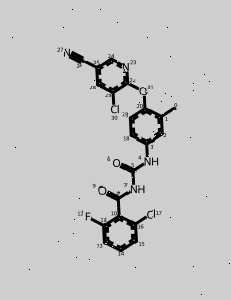 Cc1cc(NC(=O)NC(=O)c2c(F)cccc2Cl)ccc1Oc1ncc(C#N)cc1Cl